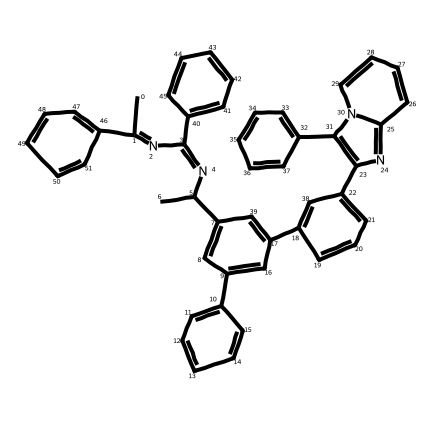 C/C(=N\C(=N/C(C)c1cc(-c2ccccc2)cc(-c2cccc(-c3nc4ccccn4c3-c3ccccc3)c2)c1)c1ccccc1)c1ccccc1